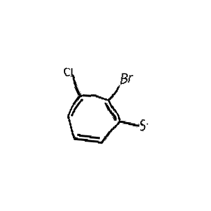 [S]c1cccc(Cl)c1Br